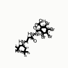 CC1(C)CC(NCCC(=O)NNC(=O)c2c(Br)c(Br)c(Br)c(Br)c2C(=O)O)CC(C)(C)N1